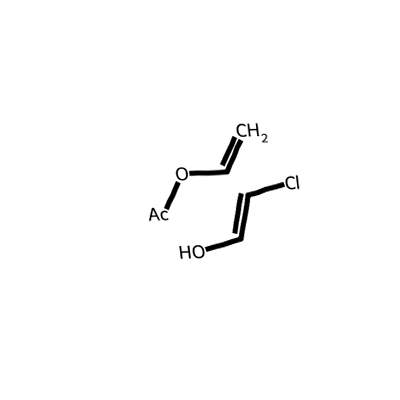 C=COC(C)=O.OC=CCl